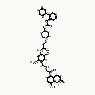 COc1cc(NC(=O)CCN2CCC(OC(=O)Nc3ccccc3-c3ccccc3)CC2)c(Cl)cc1CNCC(O)c1ccc(O)c2[nH]c(=O)ccc12